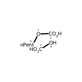 CCCCCOC(=O)O.O=C(O)O